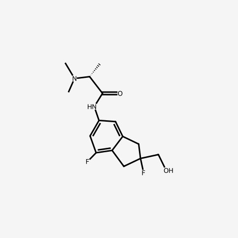 C[C@H](C(=O)Nc1cc(F)c2c(c1)CC(F)(CO)C2)N(C)C